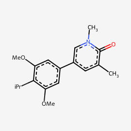 COc1cc(-c2cc(C)c(=O)n(C)c2)cc(OC)c1C(C)C